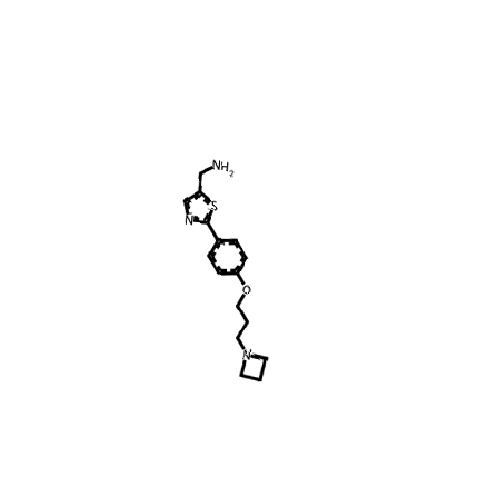 NCc1cnc(-c2ccc(OCCCN3CCC3)cc2)s1